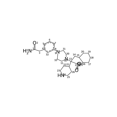 NC(=O)Cc1cccc(N2CCN(C(CC3CCCCC3)(C3CCNCC3)[SH](=O)=O)CC2)c1